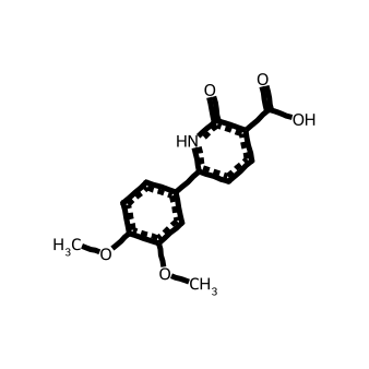 COc1ccc(-c2ccc(C(=O)O)c(=O)[nH]2)cc1OC